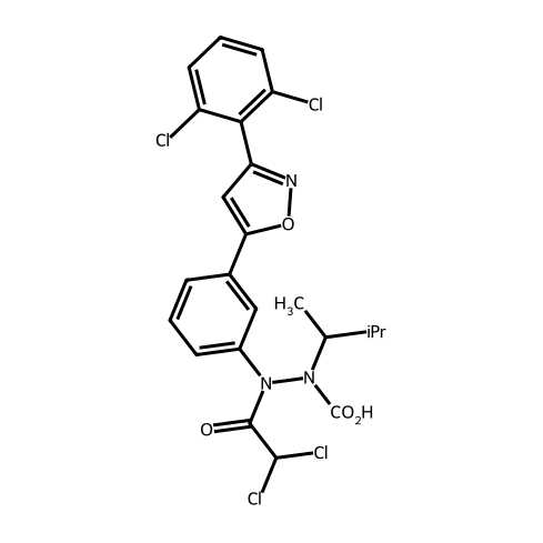 CC(C)C(C)N(C(=O)O)N(C(=O)C(Cl)Cl)c1cccc(-c2cc(-c3c(Cl)cccc3Cl)no2)c1